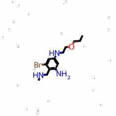 CCCOCCNc1cc(N)c(CNC)c(Br)c1